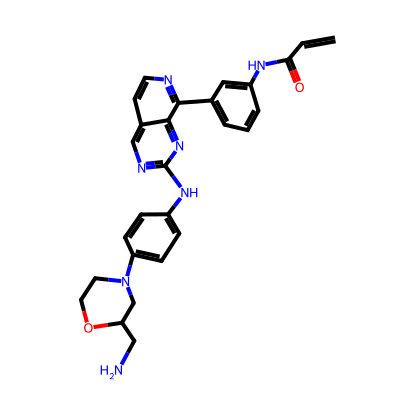 C=CC(=O)Nc1cccc(-c2nccc3cnc(Nc4ccc(N5CCOC(CN)C5)cc4)nc23)c1